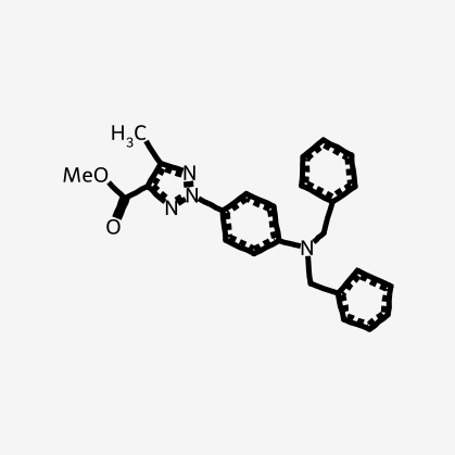 COC(=O)c1nn(-c2ccc(N(Cc3ccccc3)Cc3ccccc3)cc2)nc1C